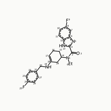 CCN(C(=O)c1nc2cc(F)ccc2[nH]1)C1CCC=C(NCc2ccc(F)cc2)C1